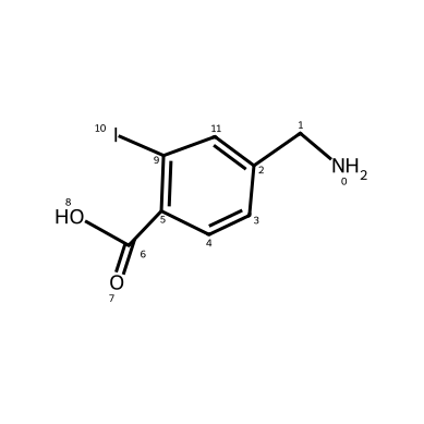 NCc1ccc(C(=O)O)c(I)c1